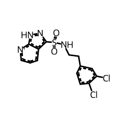 O=S(=O)(NCCc1ccc(Cl)c(Cl)c1)c1n[nH]c2ncccc12